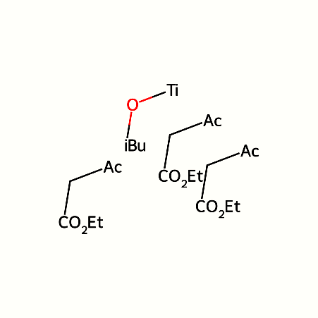 CCC(C)[O][Ti].CCOC(=O)CC(C)=O.CCOC(=O)CC(C)=O.CCOC(=O)CC(C)=O